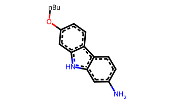 CCCCOc1ccc2c(c1)[nH]c1cc(N)ccc12